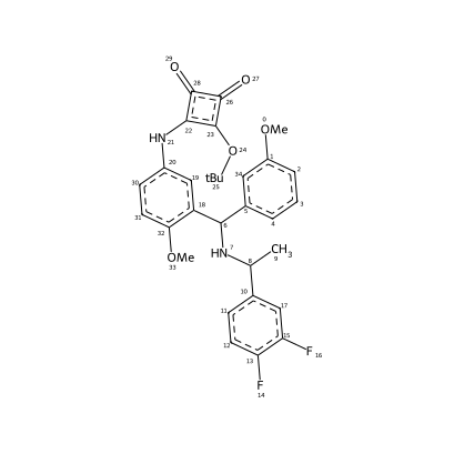 COc1cccc(C(NC(C)c2ccc(F)c(F)c2)c2cc(Nc3c(OC(C)(C)C)c(=O)c3=O)ccc2OC)c1